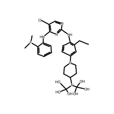 CCc1cc(N2CCC(N(C(O)(O)O)C(O)(O)O)CC2)ccc1Nc1ncc(Cl)c(Nc2ccccc2P(C)C)n1